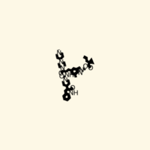 C=CCC1(C(=O)OCn2cc3cc(CC(NC(=O)N4CCC(c5cc6ccccc6[nH]c5=O)CC4)C(=O)N4CCN(C5CCN(C)CC5)CC4)cc(C)c3n2)CC1